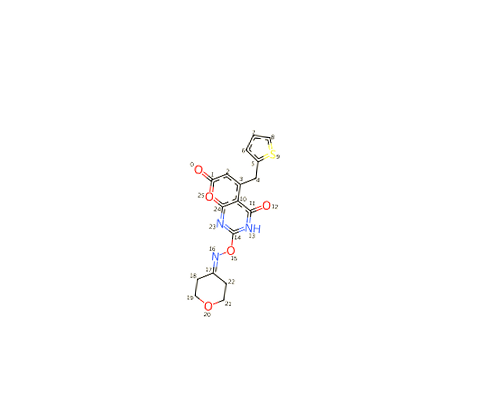 O=c1cc(Cc2cccs2)c2c(=O)[nH]c(ON=C3CCOCC3)nc2o1